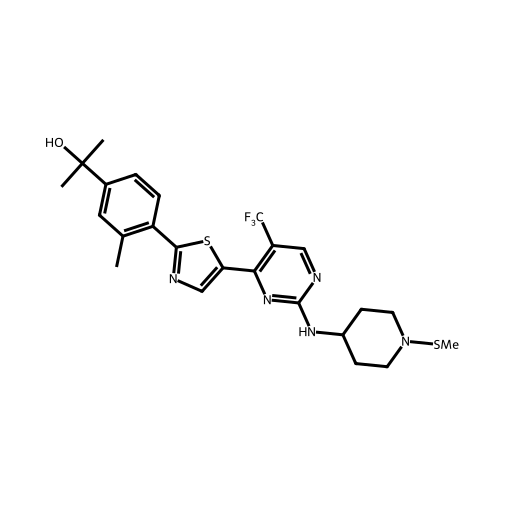 CSN1CCC(Nc2ncc(C(F)(F)F)c(-c3cnc(-c4ccc(C(C)(C)O)cc4C)s3)n2)CC1